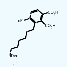 CCCCCCCCCCCCCCCCc1c(CCC)ccc(C(=O)O)c1C(=O)O